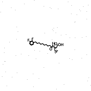 CN(C)C[C@@H](CC(=O)O)NC(=O)CCCCCCCCCc1cccc(F)c1F